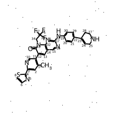 Cc1cc(-c2nccs2)ncc1-c1cc2cnc(Nc3ccc(C4=CCNCC4)cc3)nc2n(CC(F)(F)F)c1=O